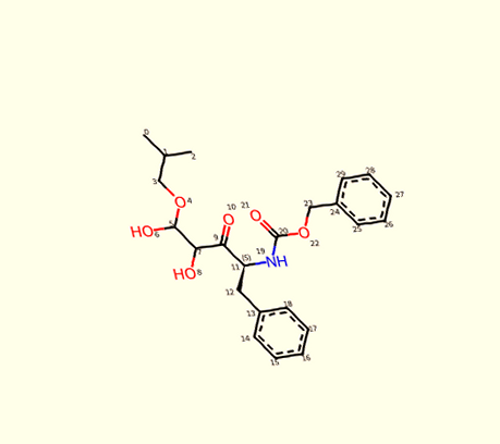 CC(C)COC(O)C(O)C(=O)[C@H](Cc1ccccc1)NC(=O)OCc1ccccc1